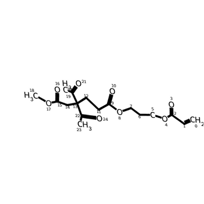 C=CC(=O)OCCCOC(=O)CCC(CC(=O)OC)(C(C)=O)C(C)=O